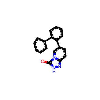 O=c1[nH]nc2ccc(-c3ccccc3-c3ccccc3)cn12